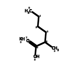 CCCCC(C)C(=O)O.[KH]